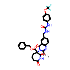 Cc1nc2ccc(CNC(=O)Nc3ccc(OC(F)(F)F)cc3)cc2c(=O)n1C1(C(=O)OCc2ccccc2)CCCC(=O)NC1=O